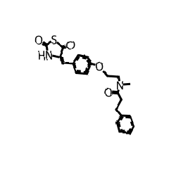 CN(CCOc1ccc(C=C2NC(=O)SC2=O)cc1)C(=O)CCc1ccccc1